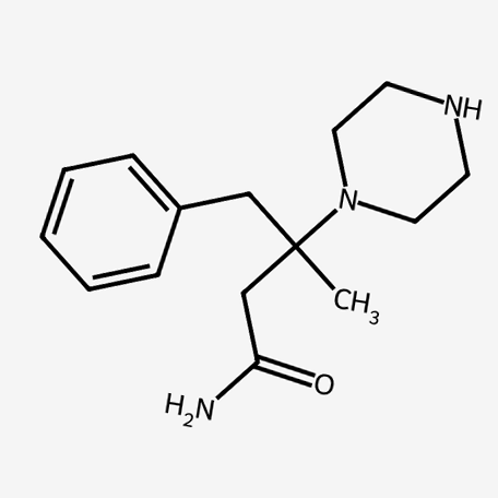 CC(CC(N)=O)(Cc1ccccc1)N1CCNCC1